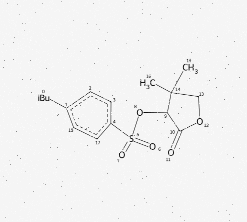 CCC(C)c1ccc(S(=O)(=O)OC2C(=O)OCC2(C)C)cc1